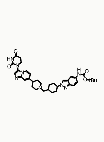 CC(C)(C)OC(=O)Nc1ccc2nn(C3CCC(CN4CCC(c5ccn6c(N7CCC(=O)NC7=O)cnc6c5)CC4)CC3)cc2c1